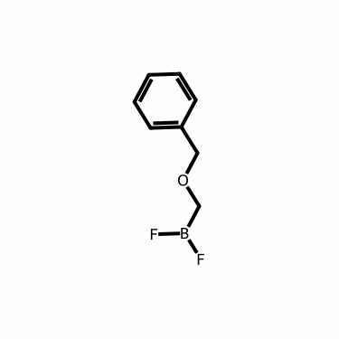 FB(F)COCc1ccccc1